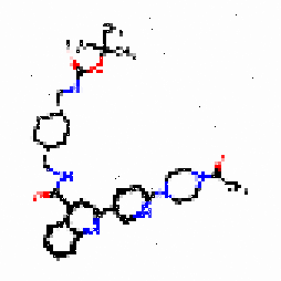 CC(=O)N1CCN(c2ccc(-c3cc(C(=O)NC[C@H]4CC[C@H](CNC(=O)OC(C)(C)C)CC4)c4ccccc4n3)cn2)CC1